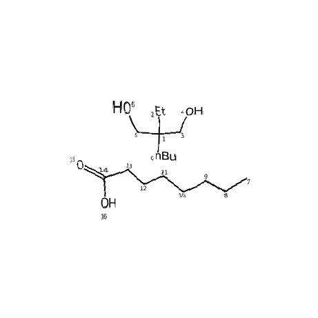 CCCCC(CC)(CO)CO.CCCCCCCC(=O)O